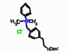 CCCCCCCCCCCCc1ccc(C[N+](C)(C)c2ccccc2)cc1.[Cl-]